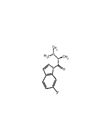 C[C@@H](C(=O)n1ccc2ccc(F)cc21)N(C)C